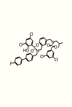 CC(C)CN(Cc1cccc(CN(Cc2ccc(-c3ccc(F)cc3)cc2)S(=O)(=O)c2cc(Cl)cc(Cl)c2O)c1)S(=O)(=O)c1cc(Cl)cc(Cl)c1